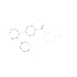 CCc1ncnc(-c2ccc(C(=O)N3CCCC(N(C)C)C3)c(OC)c2)c1-c1ccc(N)nc1